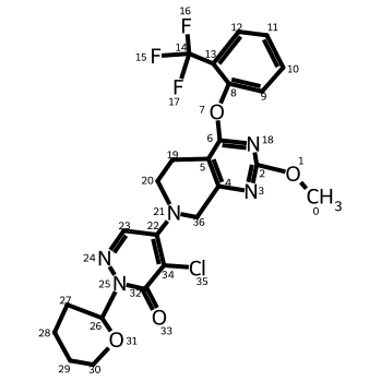 COc1nc2c(c(Oc3ccccc3C(F)(F)F)n1)CCN(c1cnn(C3CCCCO3)c(=O)c1Cl)C2